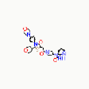 O=C(CC1SC(C2CCOCC2)N(c2ccc(N3CCOCC3)cc2)C1=O)N1CCC(n2c(=O)[nH]c3ncccc32)CC1